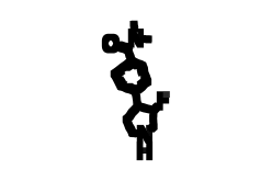 CN(C)C(=O)c1ccc(C2CCNCC2F)cc1